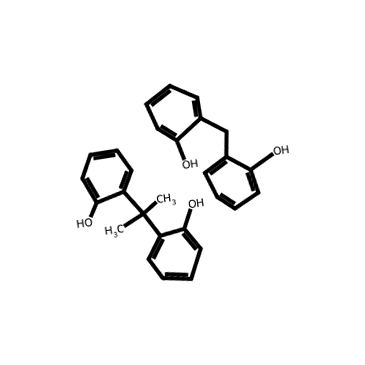 CC(C)(c1ccccc1O)c1ccccc1O.Oc1ccccc1Cc1ccccc1O